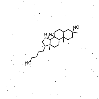 C[C@]1(N=O)CC[C@@]2(C)C(CC[C@]3(N)C2CC[C@@]2(C)C3CC[C@@H]2CCCCO)C1